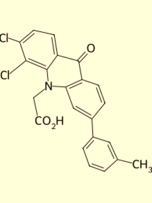 Cc1cccc(-c2ccc3c(=O)c4ccc(Cl)c(Cl)c4n(CC(=O)O)c3c2)c1